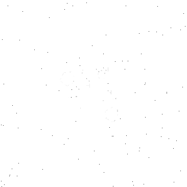 O=C(Nc1n[nH]c2c1CN(S(=O)(=O)c1cc(F)cc(F)c1)CC2)c1c(F)cccc1NC(=O)[C@@H]1CCCO1